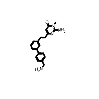 Cn1c(N)nc(CCc2cccc(-c3ccc(CN)cc3)c2)cc1=O